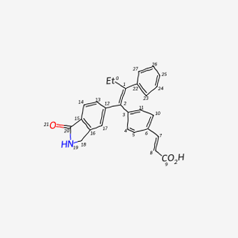 CC/C(=C(/c1ccc(/C=C/C(=O)O)cc1)c1ccc2c(c1)CNC2=O)c1ccccc1